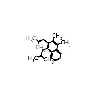 Cc1c(CC(C)C)c(CC(C)C)c2ccccc2c1C